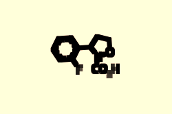 O=C(O)N1OCCC1c1ccccc1F